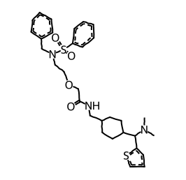 CN(C)C(c1cccs1)C1CCC(CNC(=O)COCCN(Cc2ccccc2)S(=O)(=O)c2ccccc2)CC1